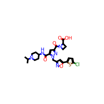 CC(C)N1CCC(NC(=O)c2cc(C(=O)N3CCC3C(=O)O)nn2Cc2cc(-c3ccc(Cl)s3)on2)CC1